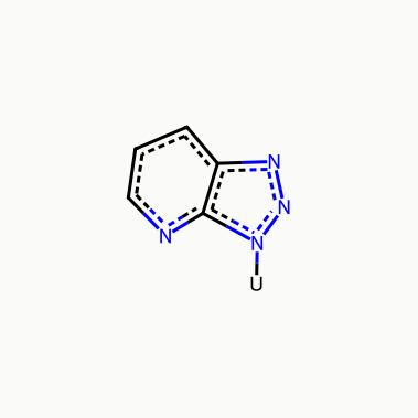 [U][n]1nnc2cccnc21